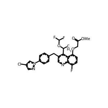 COC(=O)COc1ccc(F)c2ncc(Cc3ccc(-n4cc(Cl)cn4)cc3)c(C(C)OC(F)F)c12